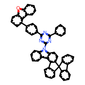 c1ccc(-c2nc(-c3ccc(-c4cccc5oc6ccccc6c45)cc3)nc(-n3c4ccccc4c4c5c(ccc43)C3(c4ccccc4-c4ccccc43)c3ccccc3-5)n2)cc1